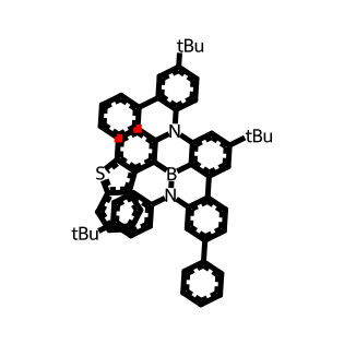 CC(C)(C)c1ccc(N2B3c4c(cc(C(C)(C)C)cc4N(c4ccc(C(C)(C)C)cc4-c4ccccc4)c4ccc5sc6ccccc6c5c43)-c3ccc(-c4ccccc4)cc32)cc1